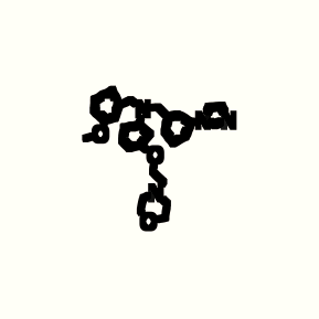 COc1cccc(CN(Cc2cccc(-n3ccnc3)c2)c2cccc(OCCN3CCOCC3)c2)c1